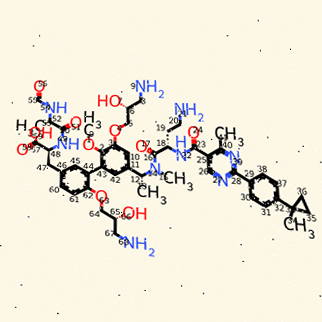 COc1c(OC[C@H](O)CN)cc([C@@H](C)N(C)C(=O)[C@H](CCN)NC(=O)c2cnc(-c3ccc(C4(C)CC4)cc3)nc2C)cc1-c1cc(C[C@H](NC(=O)[C@H](C)NC=O)C(=O)O)ccc1OC[C@H](O)CN